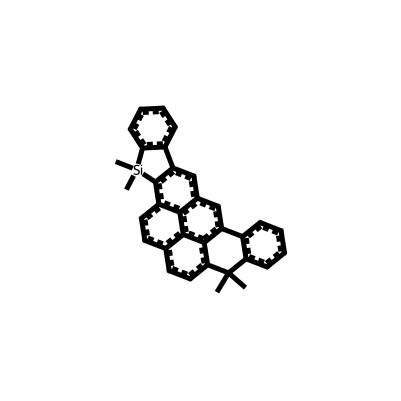 CC1(C)c2ccccc2-c2cc3cc4c(c5ccc6ccc1c2c6c35)[Si](C)(C)c1ccccc1-4